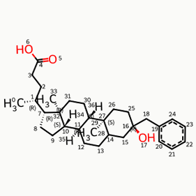 C[C@H](CCC(=O)O)[C@H]1CC[C@H]2[C@@H]3CCC4C[C@@](O)(Cc5ccccc5)CC[C@]4(C)[C@H]3CC[C@]12C